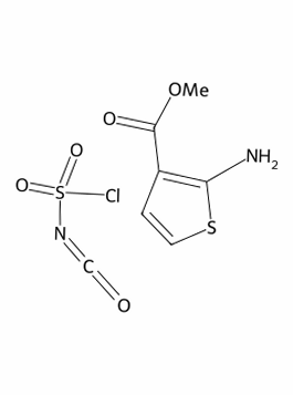 COC(=O)c1ccsc1N.O=C=NS(=O)(=O)Cl